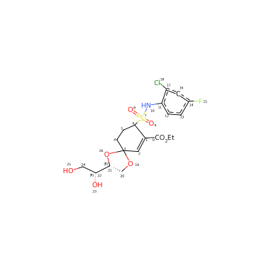 CCOC(=O)C1=CC2(CCC1S(=O)(=O)Nc1ccc(F)cc1Cl)OC[C@H]([C@H](O)CO)O2